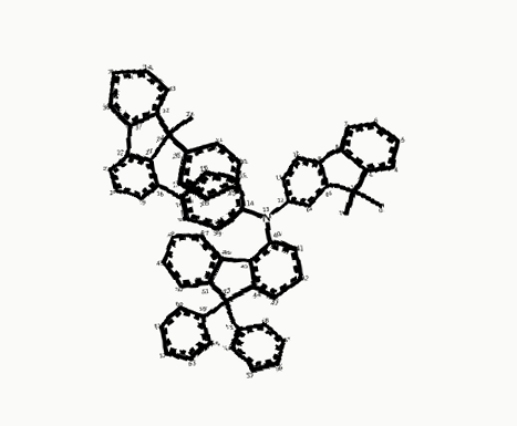 CC1(C)c2ccccc2-c2ccc(N(c3ccc(-c4cccc5c4C(C)(c4ccccc4)c4ccccc4-5)cc3)c3cccc4c3-c3ccccc3C4(c3ccccc3)c3ccccc3)cc21